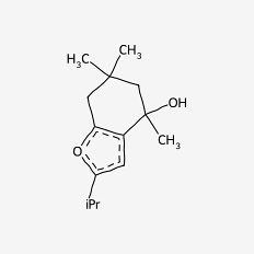 CC(C)c1cc2c(o1)CC(C)(C)CC2(C)O